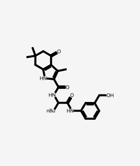 CCCCC(NC(=O)c1[nH]c2c(c1C)C(=O)CC(C)(C)C2)C(=O)Nc1cccc(CO)c1